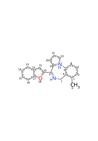 Cc1cccc2c1CN=C(c1cc3ccccc3o1)c1cccn1-2